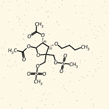 CCCCO[C@H]1[C@@H](OC(C)=O)C(OC(C)=O)OC1(COS(C)(=O)=O)COS(C)(=O)=O